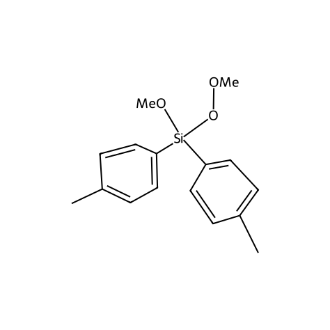 COO[Si](OC)(c1ccc(C)cc1)c1ccc(C)cc1